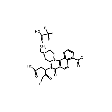 CCN1CCN(c2c(C(=O)NC(CC(=O)O)C(=O)CF)cnc3c([N+](=O)[O-])cccc23)CC1.O=C(O)C(F)(F)F